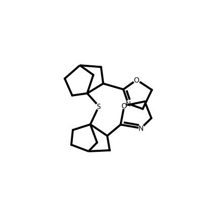 C1COC(C2CC3CCC2(SC24CCC(CC2C2=NCCO2)C4)C3)=N1